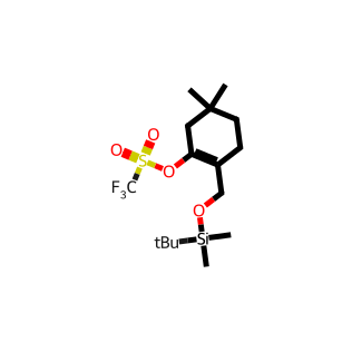 CC1(C)CCC(CO[Si](C)(C)C(C)(C)C)=C(OS(=O)(=O)C(F)(F)F)C1